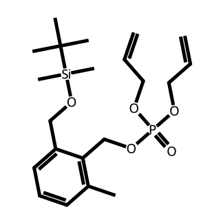 C=CCOP(=O)(OCC=C)OCc1c(C)cccc1CO[Si](C)(C)C(C)(C)C